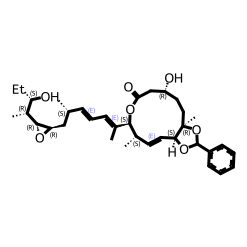 CC[C@H](O)[C@@H](C)[C@H]1O[C@@H]1C[C@H](C)/C=C/C=C(\C)[C@H]1OC(=O)C[C@H](O)CC[C@@]2(C)OC(c3ccccc3)O[C@H]2/C=C/[C@@H]1C